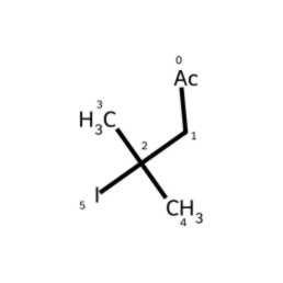 CC(=O)CC(C)(C)I